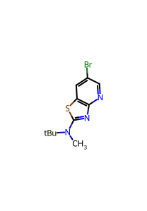 CN(c1nc2ncc(Br)cc2s1)C(C)(C)C